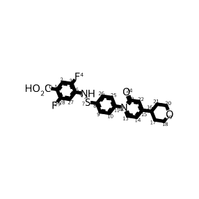 O=C(O)c1cc(F)c(NSc2ccc(-n3ccc(C4CCOCC4)cc3=O)cc2)cc1F